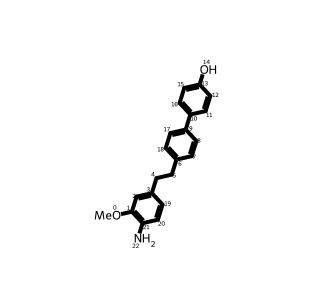 COc1cc(CCc2ccc(-c3ccc(O)cc3)cc2)ccc1N